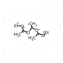 CCOC(C)OC(C)OC(C)OCC